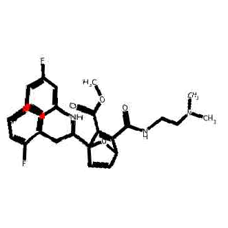 COC(=O)C1=C(C(=O)NCCN(C)C)C2C=CC1(C(Cc1ccccc1F)Nc1cc(F)cc(F)c1)O2